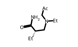 CC[C@@H](CN(CC)CC(C)=O)C(N)=O